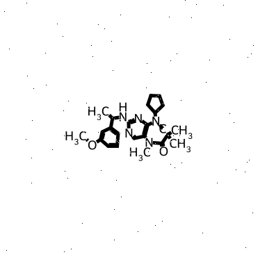 COc1cccc(C(C)Nc2ncc3c(n2)N(C2CCCC2)CC(C)(C)C(=O)N3C)c1